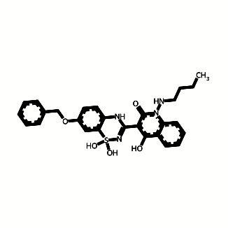 CCCCNn1c(=O)c(C2=NS(O)(O)c3cc(OCc4ccccc4)ccc3N2)c(O)c2ccccc21